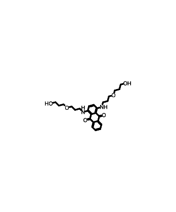 O=C1c2ccccc2C(=O)c2c(NCCCOCCCO)ccc(NCCCOCCCO)c21